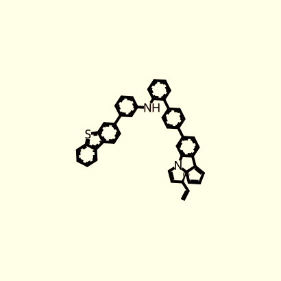 C=CC1C=CN2c3cc(-c4ccc(-c5ccccc5Nc5cccc(-c6ccc7c(c6)sc6ccccc67)c5)cc4)ccc3C3=CC=C[C@]312